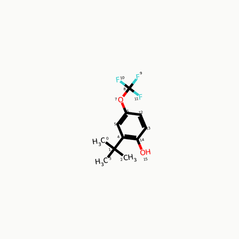 CC(C)(C)c1cc(OC(F)(F)F)ccc1O